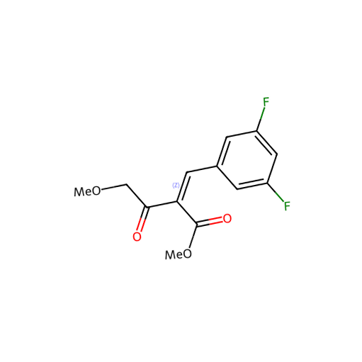 COCC(=O)/C(=C/c1cc(F)cc(F)c1)C(=O)OC